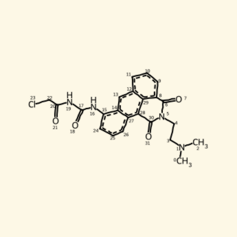 CN(C)CCN1C(=O)c2cccc3cc4c(NC(=O)NC(=O)CCl)cccc4c(c23)C1=O